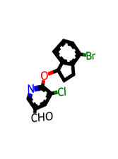 O=Cc1cnc(OC2CCc3c(Br)cccc32)c(Cl)c1